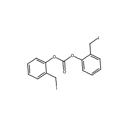 O=C(Oc1ccccc1CI)Oc1ccccc1CI